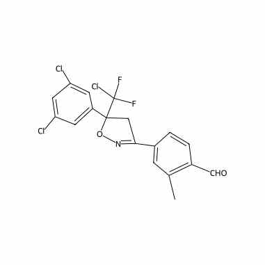 Cc1cc(C2=NOC(c3cc(Cl)cc(Cl)c3)(C(F)(F)Cl)C2)ccc1C=O